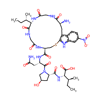 CC[C@H](C)[C@H](NC(=O)[C@@H]1C[C@@H](O)CN1C(=O)[C@H](CC(N)=O)NC(=O)[C@@H]1CSc2[nH]c3cc([N+](=O)[O-])ccc3c2C[C@H](N)C(=O)NCC(=O)N[C@@H]([C@@H](C)CC)C(=O)NCC(=O)N1)C(=O)O